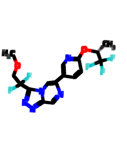 COCC(F)(F)c1nnc2cnc(-c3ccc(O[C@H](C)C(F)(F)F)nc3)cn12